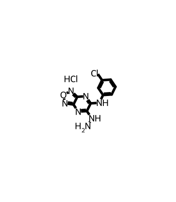 Cl.NNc1nc2nonc2nc1Nc1cccc(Cl)c1